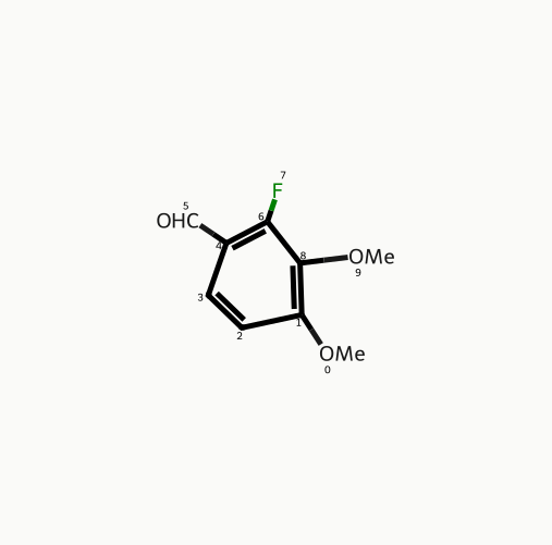 COc1ccc(C=O)c(F)c1OC